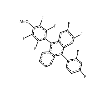 COc1c(F)c(F)c(-c2c3ccccc3c(-c3ccc(F)cc3F)c3cc(F)c(F)cc23)c(F)c1F